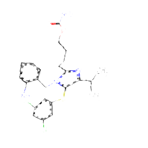 CC(C)c1nc(CCCOC(N)=O)n(Cc2ccccc2N)c1Sc1cc(Cl)cc(Cl)c1